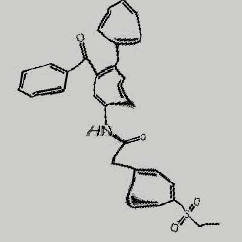 CCS(=O)(=O)c1ccc(CC(=O)Nc2ccc(-c3ccccc3)c(C(=O)c3ccccc3)c2)cc1